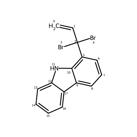 C=CC(Br)(Br)c1cccc2c1[nH]c1ccccc12